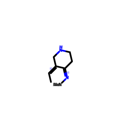 C/C=C1/CNCC/C1=N/NC